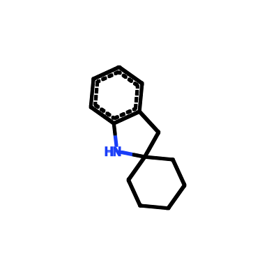 c1ccc2c(c1)CC1(CCCCC1)N2